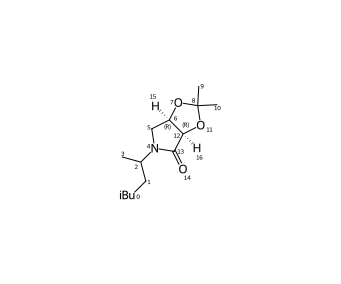 CCC(C)CC(C)N1C[C@H]2OC(C)(C)O[C@H]2C1=O